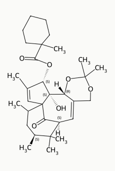 CC1=CC23C(=O)[C@@H](C=C4COC(C)(C)O[C@H]4[C@]2(O)[C@H]1OC(=O)C1(C)CCCCC1)C(C)(C)[C@@H](C)CC3C